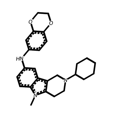 Cn1c2c(c3cc(Nc4ccc5c(c4)OCCO5)ccc31)CN(C1CCCCC1)CC2